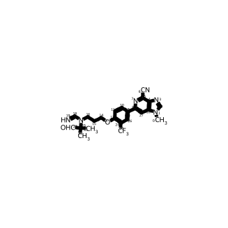 Cn1cnc2c(C#N)nc(-c3ccc(OCCCN(C=N)C(C)(C)C=O)c(C(F)(F)F)c3)cc21